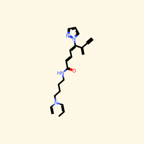 C#CC(=C)/C(=C\C=C\C(=O)NCCCCN(C=C)/C=C\C)n1cccn1